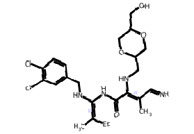 CC/C(C)=C(/NCc1ccc(Cl)c(Cl)c1)NC(=O)/C(NCC1COC(CO)CO1)=C(\C)C=N